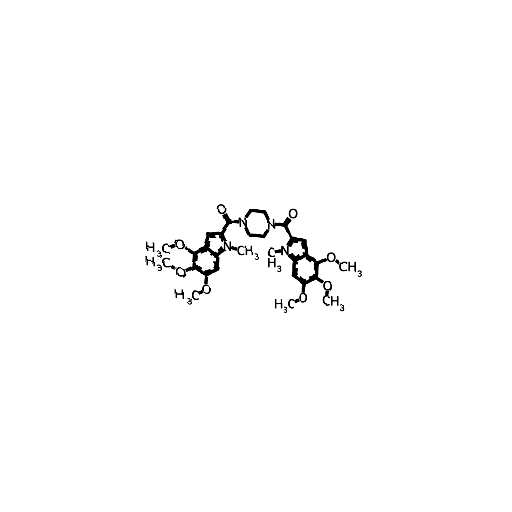 COc1cc2c(cc(C(=O)N3CCN(C(=O)c4cc5c(OC)c(OC)c(OC)cc5n4C)CC3)n2C)c(OC)c1OC